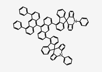 c1ccc(-c2cccc3c(-c4c5cccc(-c6cccc7c6-c6ccccc6C76c7ccccc7N(c7ccccc7)c7ccccc76)c5cc5c(-c6cccc7c6-c6ccccc6C76c7ccccc7N(c7ccccc7)c7ccccc76)cccc45)c4cccc(-c5ccccc5)c4cc23)cc1